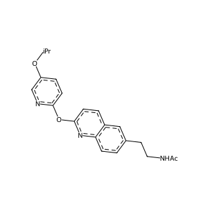 CC(=O)NCCc1ccc2nc(Oc3ccc(OC(C)C)cn3)ccc2c1